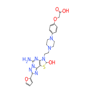 Nc1nc2c(c3nc(-c4ccco4)nn13)SC(O)N2CCN1CCN(c2ccc(OCC(=O)O)cc2)CC1